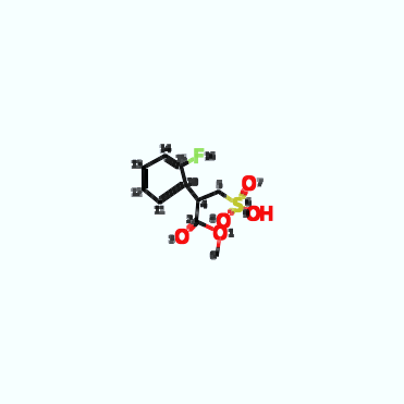 COC(=O)C(CS(=O)(=O)O)c1ccccc1F